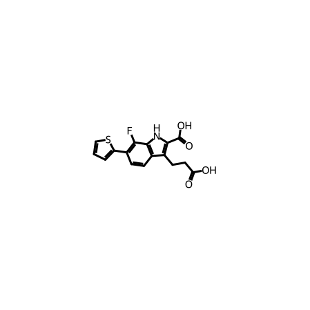 O=C(O)CCc1c(C(=O)O)[nH]c2c(F)c(-c3cccs3)ccc12